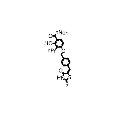 CCCCCCCCCC(=O)c1ccc(OCc2ccc(C=C3SC(=S)NC3=O)cc2)c(CCC)c1O